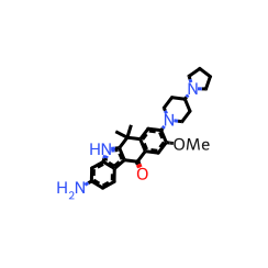 COc1cc2c(cc1N1CCC(N3CCCC3)CC1)C(C)(C)c1[nH]c3cc(N)ccc3c1C2=O